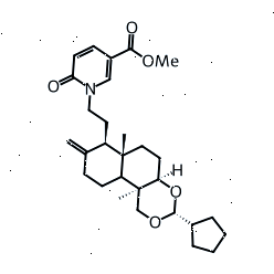 C=C1CCC2[C@]3(C)CO[C@@H](C4CCCC4)O[C@@H]3CC[C@@]2(C)[C@@H]1CCn1cc(C(=O)OC)ccc1=O